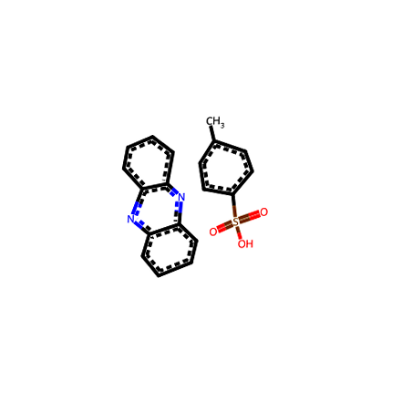 Cc1ccc(S(=O)(=O)O)cc1.c1ccc2nc3ccccc3nc2c1